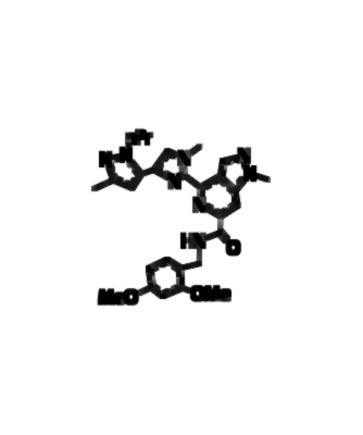 CCCn1nc(C)cc1-c1cn(C)c(-c2nc(C(=O)NCc3ccc(OC)cc3OC)cc3c2cnn3C)n1